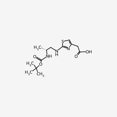 C[C@H](CNc1nc(CC(=O)O)cs1)NC(=O)OC(C)(C)C